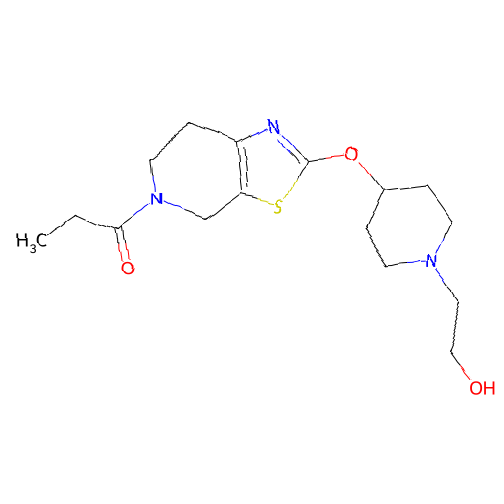 CCC(=O)N1CCc2nc(OC3CCN(CCO)CC3)sc2C1